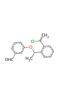 C=C(Cl)c1ccccc1C(C)Oc1cccc(C=O)c1